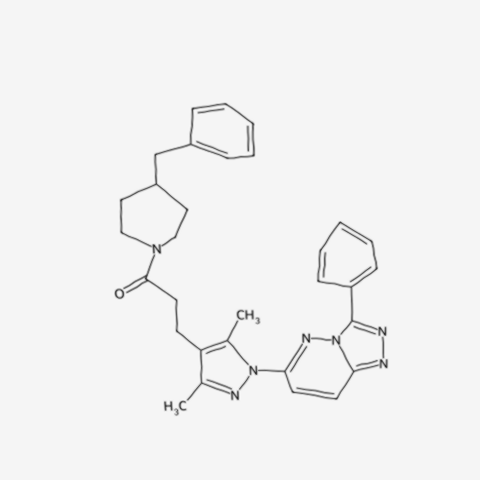 Cc1nn(-c2ccc3nnc(-c4ccccc4)n3n2)c(C)c1CCC(=O)N1CCC(Cc2ccccc2)CC1